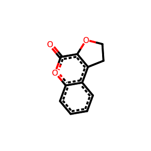 O=c1oc2ccccc2c2c1OCC2